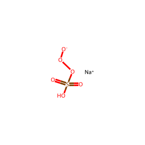 O=S(=O)(O)OO[O-].[Na+]